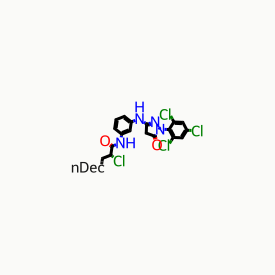 CCCCCCCCCCCC(Cl)C(=O)Nc1cccc(NC2=NN(c3c(Cl)cc(Cl)cc3Cl)C(=O)C2)c1